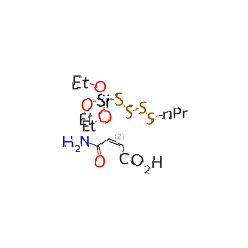 CCCSSSS[Si](OCC)(OCC)OCC.NC(=O)/C=C\C(=O)O